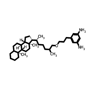 CC(CCC[C@@H](C)[C@H]1CC[C@H]2[C@@H]3CCC4CCCC[C@]4(C)[C@H]3CC[C@]12C)COCCCc1cc(N)cc(N)c1